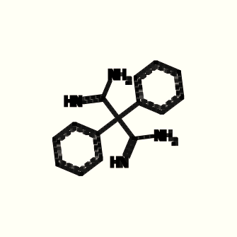 N=C(N)C(C(=N)N)(c1ccccc1)c1ccccc1